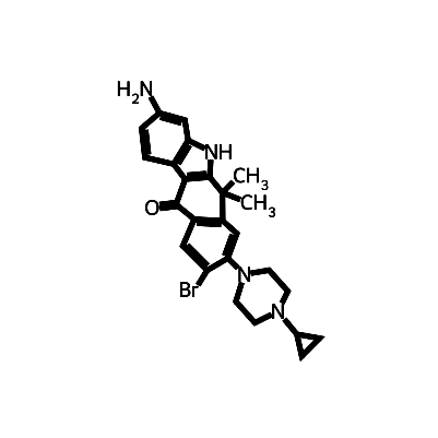 CC1(C)c2cc(N3CCN(C4CC4)CC3)c(Br)cc2C(=O)c2c1[nH]c1cc(N)ccc21